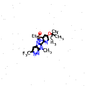 CC[S@@](=N)(=O)c1cc(OC(C)(C)C#N)cnc1-c1nc2cc(C(F)(F)F)nnc2n1C